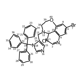 ClN1C=Nc2cc(Br)cc3c2C1N(Cc1cncn1C(c1ccccc1)(c1ccccc1)c1ccccc1)CCO3